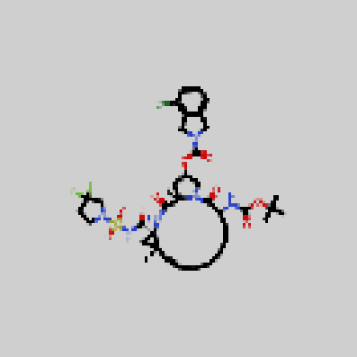 CC(C)(C)OC(=O)N[C@H]1CCCCC/C=C\[C@@H]2C[C@@]2(C(=O)NS(=O)(=O)N2CCC(F)(F)C2)NC(=O)[C@@H]2C[C@@H](OC(=O)N3Cc4cccc(Cl)c4C3)CN2C1=O